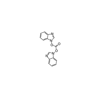 O=C(On1cnc2ccccc21)On1cnc2ccccc21